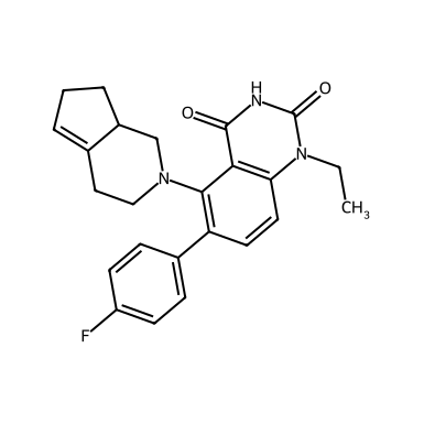 CCn1c(=O)[nH]c(=O)c2c(N3CCC4=CCCC4C3)c(-c3ccc(F)cc3)ccc21